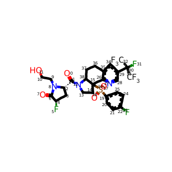 O=C([C@@H]1C[C@@H](F)C(=O)N1CCO)N1CCC2(S(=O)(=O)c3ccc(F)cc3)c3ncc(C(F)(C(F)(F)F)C(F)(F)F)cc3CCC12